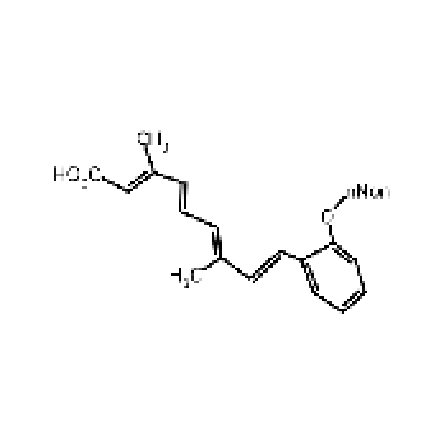 CCCCCCCCCOc1ccccc1C=CC(C)=CC=CC(C)=CC(=O)O